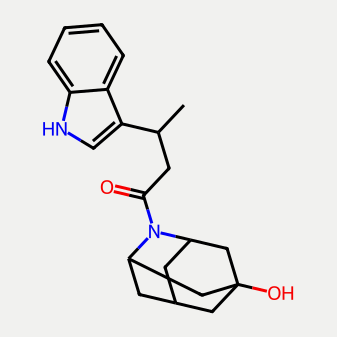 CC(CC(=O)N1C2CC3CC1CC(O)(C3)C2)c1c[nH]c2ccccc12